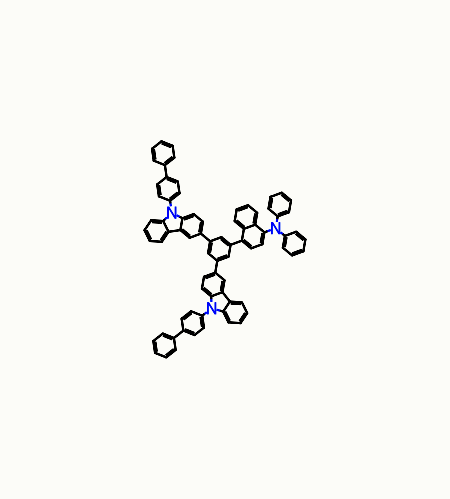 c1ccc(-c2ccc(-n3c4ccccc4c4cc(-c5cc(-c6ccc7c(c6)c6ccccc6n7-c6ccc(-c7ccccc7)cc6)cc(-c6ccc(N(c7ccccc7)c7ccccc7)c7ccccc67)c5)ccc43)cc2)cc1